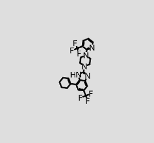 FC(F)(F)c1cc(C2=CCCCC2)c2[nH]c(N3CCN(c4ncccc4C(F)(F)F)CC3)nc2c1